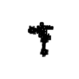 COC(=O)c1sc(N2CCOCC2)nc1NC(=O)Nc1ccc(C#Cc2ccccc2)cc1Cl